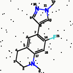 CN1CCCc2cc(-c3cnn(C)c3)c(F)cc21